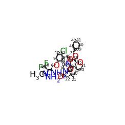 CN(N)/C(=C(\N)COc1ccc(Cl)c2c1C(CN1CC3(CC3)CC1=O)N(C(=O)C1CCCOC1C(=O)OCc1ccccc1)CC2)C(F)F